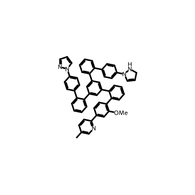 COc1cc(-c2ccc(C)cn2)ccc1-c1ccccc1-c1cc(-c2ccccc2-c2ccc(N3C=CCN3)cc2)cc(-c2ccccc2-c2ccc(-n3cccn3)cc2)c1